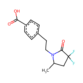 CC1CC(F)(F)C(=O)N1CCc1ccc(C(=O)O)cc1